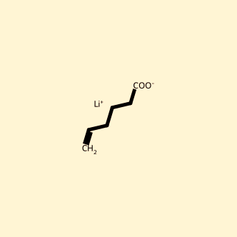 C=CCCCC(=O)[O-].[Li+]